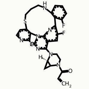 C=CC(=O)N1CCN(c2nc(=O)n3c4nc(c(F)cc24)-c2c(F)cccc2NCCCSc2ccnc(C(C)C)c2-3)[C@@H]2CC21